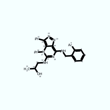 CC(=O)c1ccccc1CNc1nc(NCC(C)O)n(C(C)C)c2c(C(C)C)nnc1-2